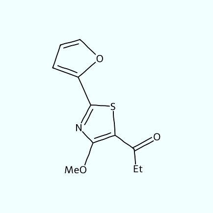 CCC(=O)c1sc(-c2ccco2)nc1OC